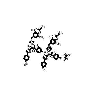 Cc1cc(C[n+]2cnn(C[C@](O)(c3ccc(F)cc3F)[C@@H](C)c3nc(-c4ccc(C#N)cc4)cs3)c2)cc(C)c1OC(=O)CN.Cc1cc(C[n+]2cnn(C[C@](O)(c3ccc(F)cc3F)[C@@H](C)c3nc(-c4ccc(C#N)cc4)cs3)c2)cc(C)c1OC(=O)CN.O=C([O-])C(F)(F)F.[Br-]